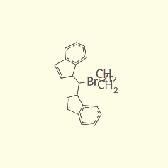 BrC(C1C=Cc2ccccc21)C1C=Cc2ccccc21.C=C.[Zr]